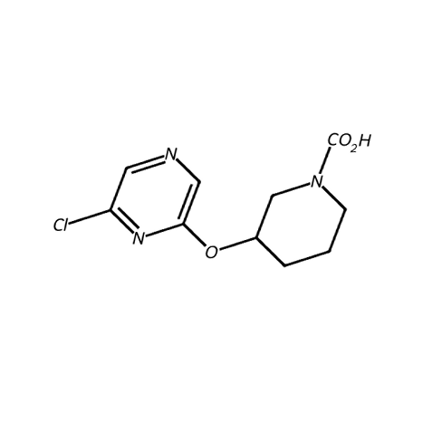 O=C(O)N1CCCC(Oc2cncc(Cl)n2)C1